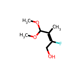 COC(OC)/C(C)=C(/F)CO